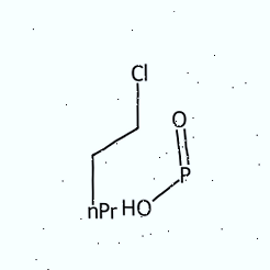 CCCCCCl.O=PO